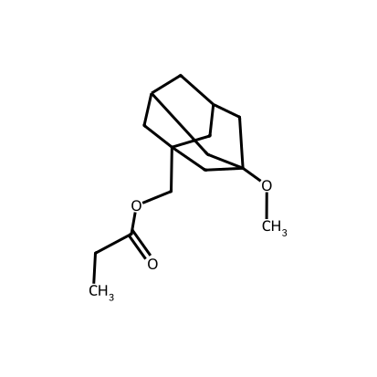 CCC(=O)OCC12CC3CC(C1)CC(OC)(C3)C2